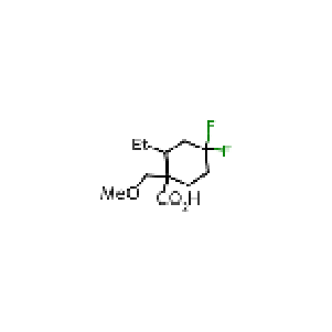 CCC1CC(F)(F)CCC1(COC)C(=O)O